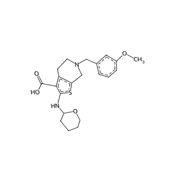 COc1cccc(CN2CCc3c(sc(NC4CCCCO4)c3C(=O)O)C2)c1